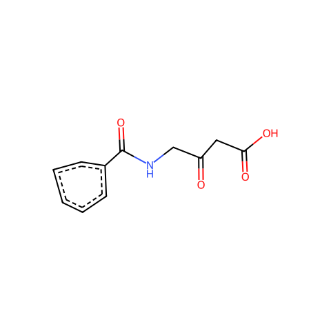 O=C(O)CC(=O)CNC(=O)c1ccccc1